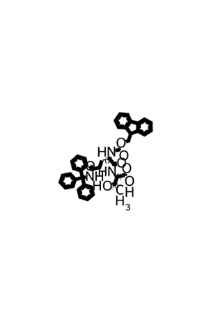 C[C@@H](O)[C@H](NC(=O)[C@H](CCC(=O)NC(c1ccccc1)(c1ccccc1)c1ccccc1)NC(=O)OCC1c2ccccc2-c2ccccc21)C(=O)O